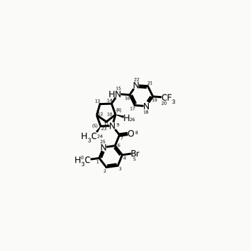 Cc1ccc(Br)c(C(=O)N2[C@@H]3CC(CC3Nc3cnc(C(F)(F)F)cn3)[C@@H]2C)n1